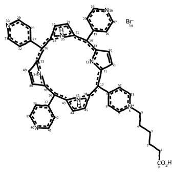 O=C(O)CCCCC[n+]1ccc(-c2c3nc(c(-c4ccncc4)c4ccc([nH]4)c(-c4ccncc4)c4nc(c(-c5ccncc5)c5ccc2[nH]5)C=C4)C=C3)cc1.[Br-]